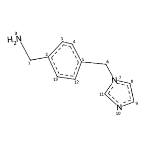 NCc1ccc(Cn2ccnc2)cc1